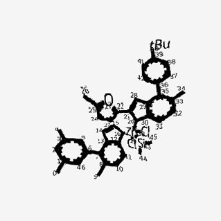 Cc1cc(C)cc(-c2c(C)ccc3c2C=C[CH]3[Zr]([Cl])([Cl])([CH]2C(c3ccc(C)o3)=Cc3c2ccc(C)c3-c2ccc(C(C)(C)C)cc2)=[Si](C)C)c1